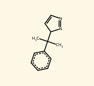 CC(C)([C]1C=CN=N1)c1ccccc1